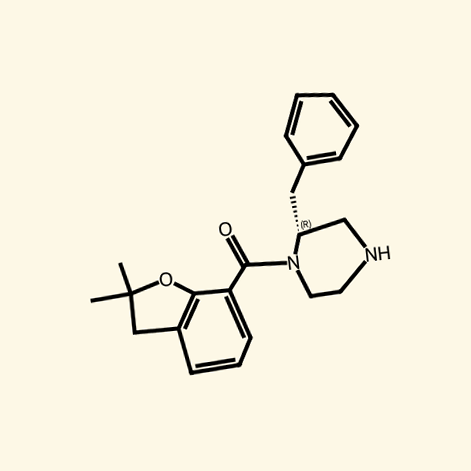 CC1(C)Cc2cccc(C(=O)N3CCNC[C@H]3Cc3ccccc3)c2O1